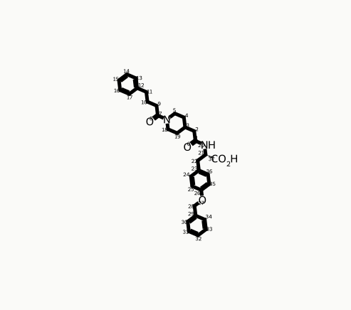 O=C(CC1CCN(C(=O)CCCc2ccccc2)CC1)N[C@@H](Cc1ccc(OCc2ccccc2)cc1)C(=O)O